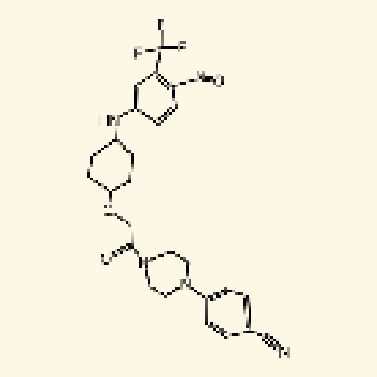 N#Cc1ccc(N2CCN(C(=O)COC3CCC(Nc4ccc(N=O)c(C(F)(F)F)c4)CC3)CC2)cc1